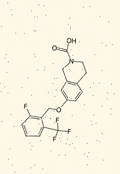 O=C(O)N1CCc2ccc(OCc3c(F)cccc3C(F)(F)F)cc2C1